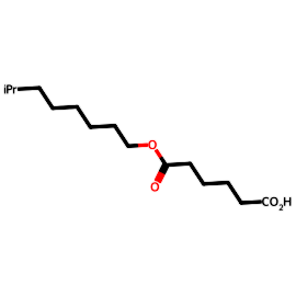 CC(C)CCCCCCOC(=O)CCCCC(=O)O